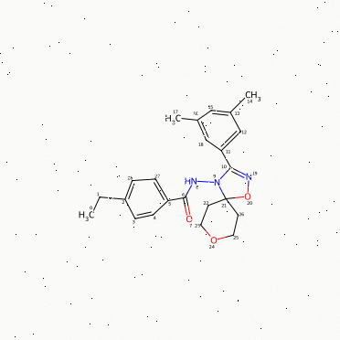 CCc1ccc(C(=O)NN2C(c3cc(C)cc(C)c3)=NOC23CCOCC3)cc1